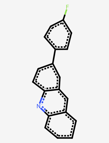 Fc1ccc(-c2ccc3nc4ccccc4cc3c2)cc1